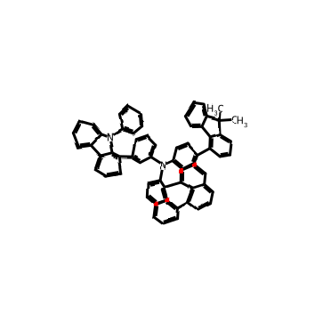 CC1(C)c2ccccc2-c2c(-c3ccc(N(c4cccc(-c5cccc6c7ccccc7n(-c7ccccc7)c56)c4)c4ccccc4-c4cccc5cccc(-c6ccccc6)c45)cc3)cccc21